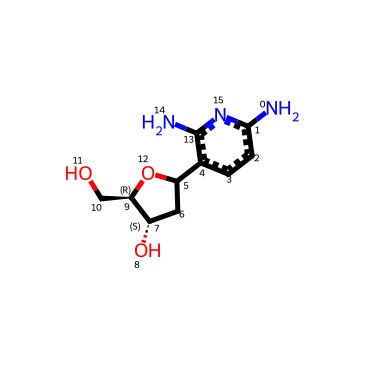 Nc1ccc(C2C[C@H](O)[C@@H](CO)O2)c(N)n1